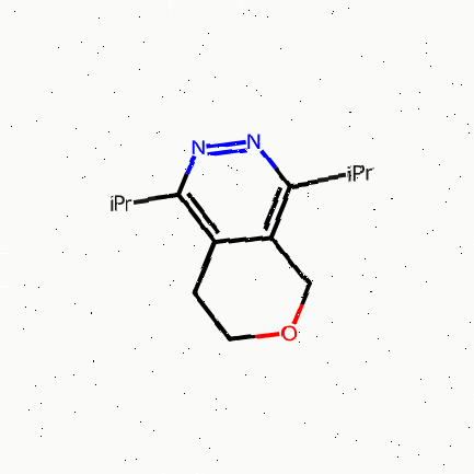 CC(C)c1nnc(C(C)C)c2c1CCOC2